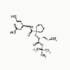 CCC[C@@H](CC1(C(=O)N[C@H](CCO)CC(=O)O)CCCC1)C(=O)OC(C)(C)C